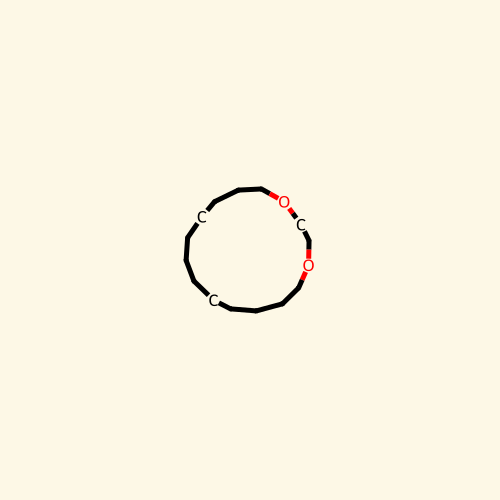 C1CCCCCCOCCOCCCCC1